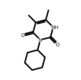 Cc1[nH]c(=O)n(C2CCCCC2)c(=O)c1C